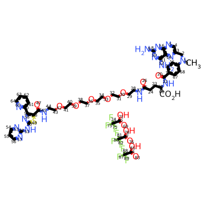 CN(Cc1cnc2nc(N)nc(N)c2n1)c1ccc(C(=O)NC(CCC(=O)NCCOCCOCCOCCOCCOCCNC(=O)c2sc(Nc3ncccn3)nc2-c2ccccn2)C(=O)O)cc1.O=C(O)C(F)(F)F.O=C(O)C(F)(F)F.O=C(O)C(F)(F)F